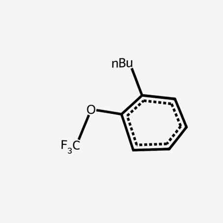 [CH2]CCCc1ccccc1OC(F)(F)F